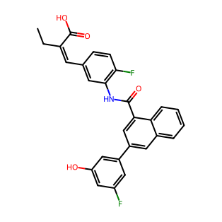 CCC(=Cc1ccc(F)c(NC(=O)c2cc(-c3cc(O)cc(F)c3)cc3ccccc23)c1)C(=O)O